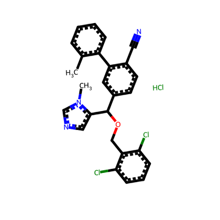 Cc1ccccc1-c1cc(C(OCc2c(Cl)cccc2Cl)c2cncn2C)ccc1C#N.Cl